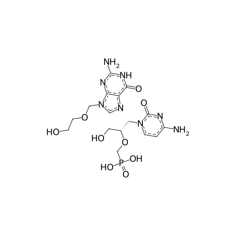 Nc1ccn(C[C@@H](CO)OCP(=O)(O)O)c(=O)n1.Nc1nc2c(ncn2COCCO)c(=O)[nH]1